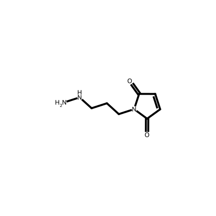 NNCCCN1C(=O)C=CC1=O